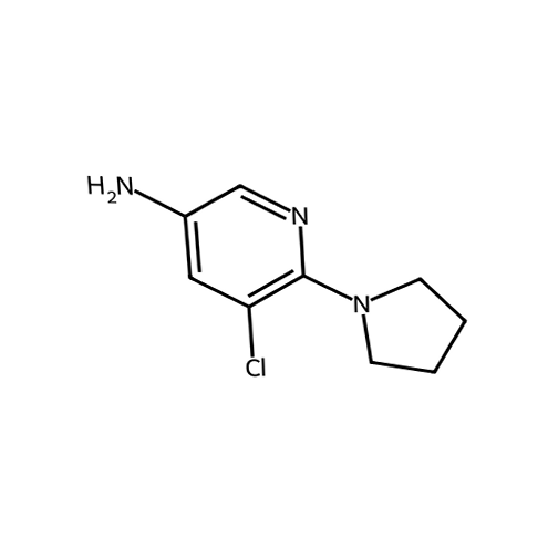 Nc1cnc(N2CCCC2)c(Cl)c1